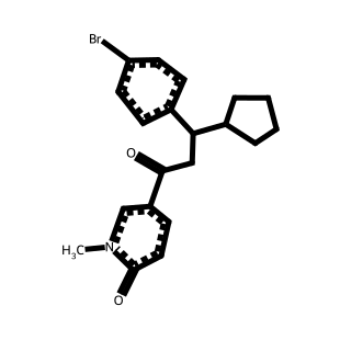 Cn1cc(C(=O)CC(c2ccc(Br)cc2)C2CCCC2)ccc1=O